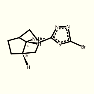 CC(=O)N[C@H]1C2CC[C@H]1CN(c1nnc(Br)s1)C2